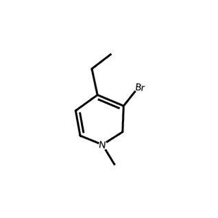 CCC1=C(Br)CN(C)C=C1